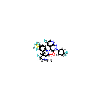 CC1(C)C(C(=O)N(c2ccc(S(F)(F)(F)(F)F)cc2)C(C(=O)NC2CCC(F)(F)CC2)c2cncc(F)c2)N(C#N)CC1(F)F